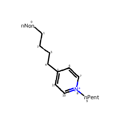 CCCCCCCCCCCCCc1cc[n+](CCCCC)cc1